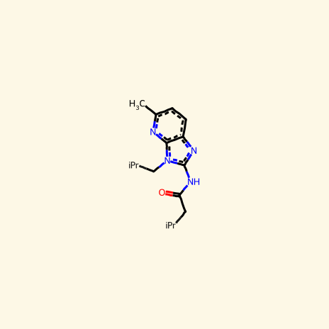 Cc1ccc2nc(NC(=O)CC(C)C)n(CC(C)C)c2n1